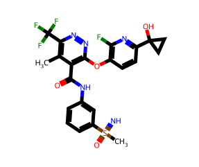 Cc1c(C(F)(F)F)nnc(Oc2ccc(C3(O)CC3)nc2F)c1C(=O)Nc1cccc(S(C)(=N)=O)c1